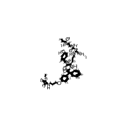 CCOc1c(NCCCOc2ccc(C(C(=O)N[C@H](CCCN/C(N)=N\C(=O)NCCNC(=O)CC)C(=O)NCc3ccc(O)cc3)c3ccccc3)cc2)c(=O)c1=O